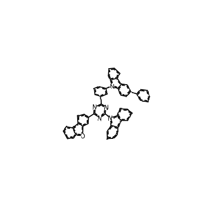 c1ccc(-c2ccc3c(c2)c2ccccc2n3-c2cccc(-c3nc(-c4ccc5c(c4)oc4ccccc45)nc(-n4c5ccccc5c5ccccc54)n3)c2)cc1